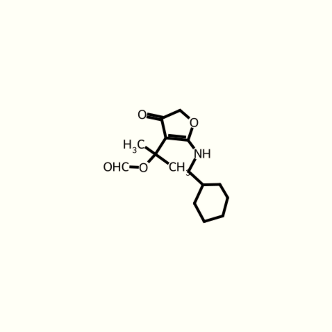 CC(C)(OC=O)C1=C(NCC2CCCCC2)OCC1=O